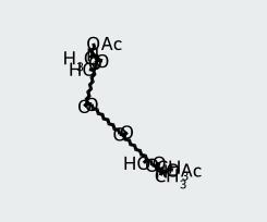 CC(=O)OCCN(C)CC(=O)OCC(O)CCCCCCCCC(=O)OCCCCCCCCCCOC(=O)CCCCCCCCC(O)COC(=O)C[N+](C)(C)CCOC(C)=O